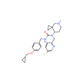 CN1CCC(N(Cc2ccc(F)cn2)C(=O)NCc2ccc(OCC3CC3)cc2)C2(CC2)C1